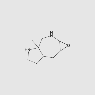 CC12CNC3OC3CC1CCN2